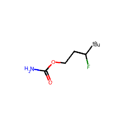 CC(C)(C)C(F)CCOC(N)=O